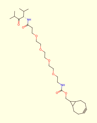 CC(C)C(=O)[C@@H](NC(=O)CCOCCOCCOCCOCCNC(=O)OCC1C2CCC#CCCC21)C(C)C